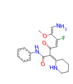 COC(=C/N)/C(F)=C\C(=O)/C(C(=O)Nc1ccccc1)=C1\CCCCN1